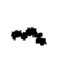 CN1CCCC2(CCN(c3cccc(-c4ccc5cnc(CNC(=O)c6cncc(S(C)(=O)=O)c6)cc5n4)n3)C2)C1